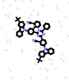 CC(C)(C)c1ccc2c(c1)c1ccccc1n2-c1ccc(-c2nc(-c3ccccc3)nc(-c3ccc(-n4c5ccccc5c5cc(C(C)(C)C)ccc54)cc3-c3ccccc3C#N)n2)c(C#N)c1